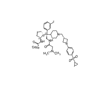 COC(=O)N[C@H]1CCC[C@@H]1[C@](CNC(=O)CN(C)C)(c1cccc(F)c1)C1CCN(CC2CN(c3ccc(S(=O)(=O)C4CC4)cc3)C2)CC1